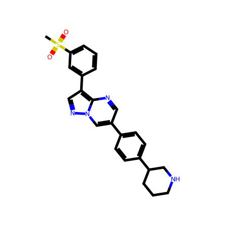 CS(=O)(=O)c1cccc(-c2cnn3cc(-c4ccc(C5CCCNC5)cc4)cnc23)c1